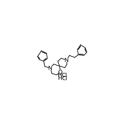 Cl.Cl.c1ccc(CCN2CCC3(CC2)CN(Cc2ccccc2)CCO3)cc1